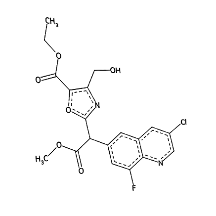 CCOC(=O)c1oc(C(C(=O)OC)c2cc(F)c3ncc(Cl)cc3c2)nc1CO